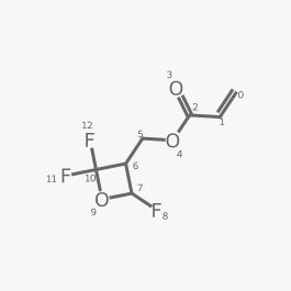 C=CC(=O)OCC1C(F)OC1(F)F